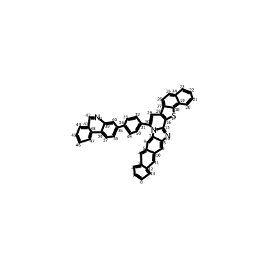 c1ccc2cc3cc4c(cc3cc2c1)nc1c2sc3c5ccccc5ccc3c2cc(-c2ccc(-c3ccc5c(c3)ncc3ccccc35)cc2)n41